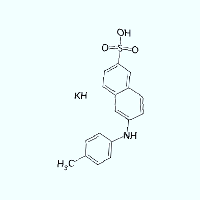 Cc1ccc(Nc2ccc3cc(S(=O)(=O)O)ccc3c2)cc1.[KH]